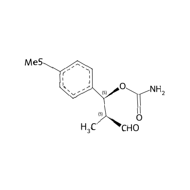 CSc1ccc([C@@H](OC(N)=O)[C@H](C)C=O)cc1